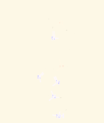 Cc1oc(-c2ccccc2)nc1CCOc1cncc(N2CCNCC2)n1